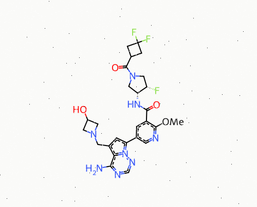 COc1ncc(-c2cc(CN3CC(O)C3)c3c(N)ncnn23)cc1C(=O)N[C@@H]1CN(C(=O)C2CC(F)(F)C2)C[C@@H]1F